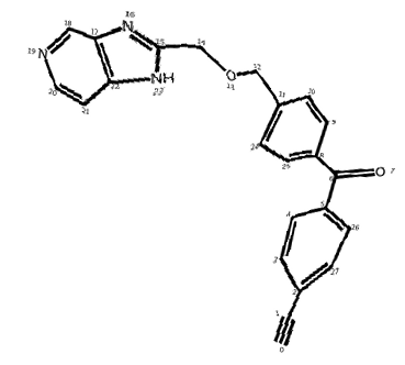 C#Cc1ccc(C(=O)c2ccc(COCc3nc4cnccc4[nH]3)cc2)cc1